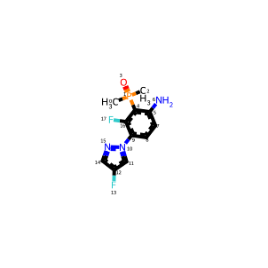 CP(C)(=O)c1c(N)ccc(-n2cc(F)cn2)c1F